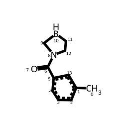 Cc1cccc(C(=O)N2CBCC2)c1